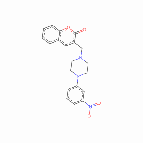 O=c1oc2ccccc2cc1CN1CCN(c2cccc([N+](=O)[O-])c2)CC1